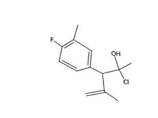 C=C(C)C(c1ccc(F)c(C)c1)C(C)(O)Cl